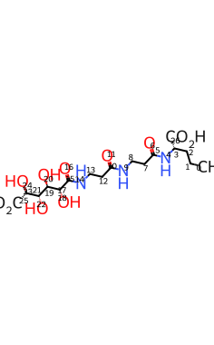 O=CCC[C@H](NC(=O)CCNC(=O)CCNC(=O)[C@H](O)[C@H](O)[C@H](O)[C@@H](O)C(=O)O)C(=O)O